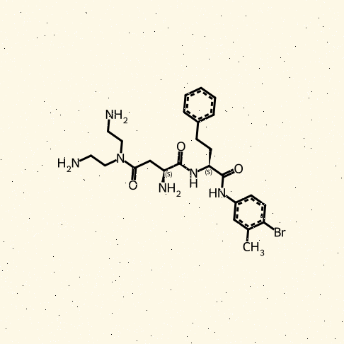 Cc1cc(NC(=O)[C@H](CCc2ccccc2)NC(=O)[C@@H](N)CC(=O)N(CCN)CCN)ccc1Br